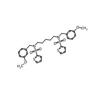 COc1cccc(CN(CCCCCN(Cc2cccc(OC)c2)S(=O)(=O)c2cccs2)S(=O)(=O)c2cccs2)c1